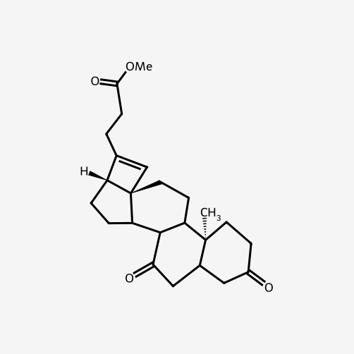 COC(=O)CCC1=C[C@]23CCC4C(C(=O)CC5CC(=O)CC[C@@]54C)C2CC[C@H]13